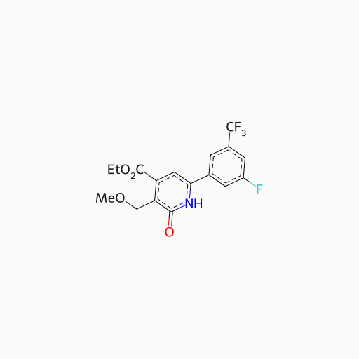 CCOC(=O)c1cc(-c2cc(F)cc(C(F)(F)F)c2)[nH]c(=O)c1COC